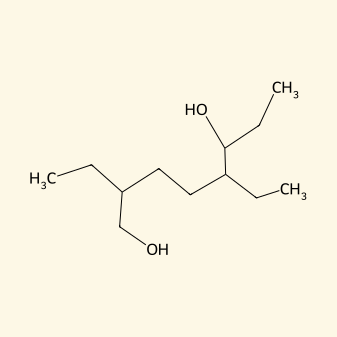 CCC(CO)CCC(CC)C(O)CC